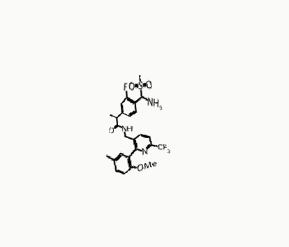 COc1ccc(C)cc1-c1nc(C(F)(F)F)ccc1CNC(=O)C(C)c1ccc(C(N)S(C)(=O)=O)c(F)c1